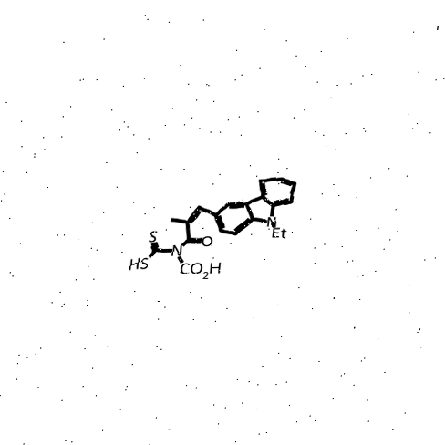 CCn1c2ccccc2c2cc(/C=C(/C)C(=O)N(C(=O)O)C(=S)S)ccc21